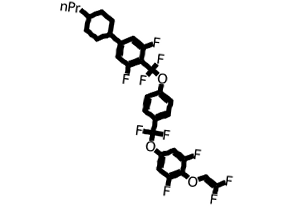 CCCC1CCC(c2cc(F)c(C(F)(F)Oc3ccc(C(F)(F)Oc4cc(F)c(OC=C(F)F)c(F)c4)cc3)c(F)c2)CC1